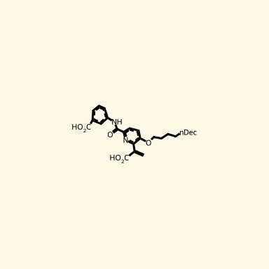 C=C(C(=O)O)c1nc(C(=O)Nc2cccc(C(=O)O)c2)ccc1OCCCCCCCCCCCCCC